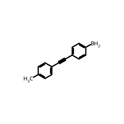 Bc1ccc(C#Cc2ccc(C)cc2)cc1